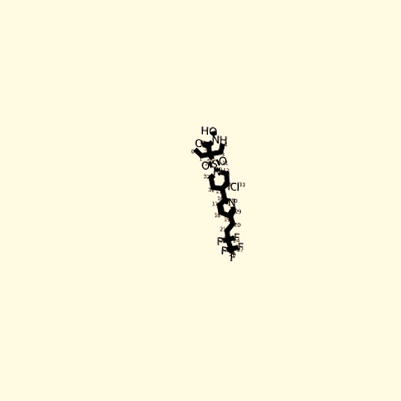 CCC(CC)(C(=O)NO)S(=O)(=O)N1CCC(c2ccc(CCC(F)(F)C(F)(F)F)cn2)CC1.Cl